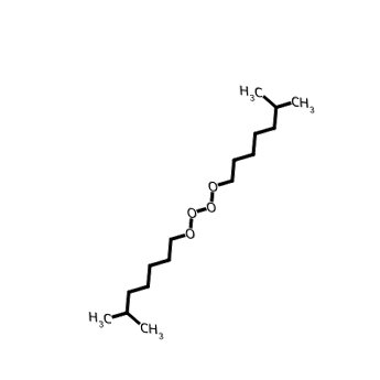 CC(C)CCCCCOOOOCCCCCC(C)C